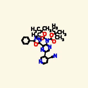 CC(C)(C)OC(=O)N(C(=O)OC(C)(C)C)c1ncc(-c2cnccc2C#N)nc1-c1nnc(-c2ccccc2)o1